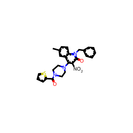 Cc1ccc2c(c1)c(N1CCN(C(=O)c3cccs3)CC1)c([N+](=O)[O-])c(=O)n2Cc1ccccc1